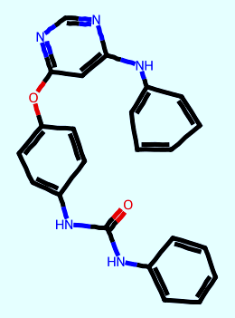 O=C(Nc1ccccc1)Nc1ccc(Oc2cc(Nc3ccccc3)ncn2)cc1